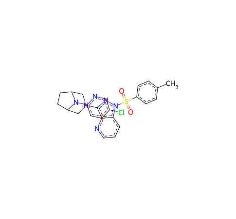 Cc1ccc(S(=O)(=O)n2nc(N3CC4CCC(C3)N4c3ccc(Cl)cn3)c3ncccc32)cc1